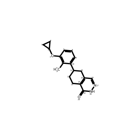 Cc1c(OC2CC2)cccc1C1CCc2c(cn[nH]c2=O)C1